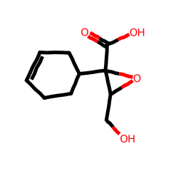 O=C(O)C1(C2CC=CCC2)OC1CO